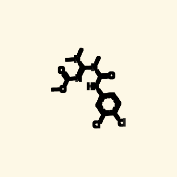 COC(=O)N=C(N(C)C)N(C)C(=O)Nc1ccc(Cl)c(Cl)c1